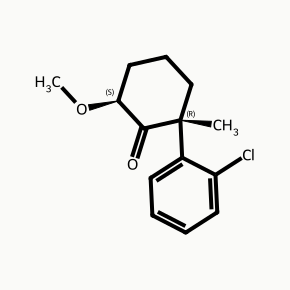 CO[C@H]1CCC[C@](C)(c2ccccc2Cl)C1=O